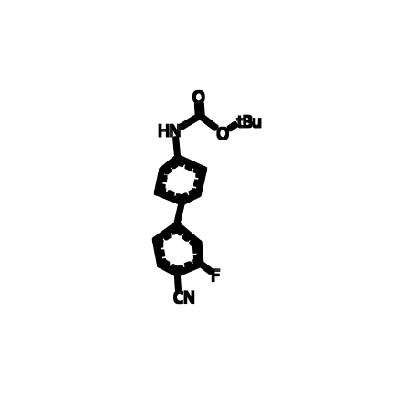 CC(C)(C)OC(=O)Nc1ccc(-c2ccc(C#N)c(F)c2)cc1